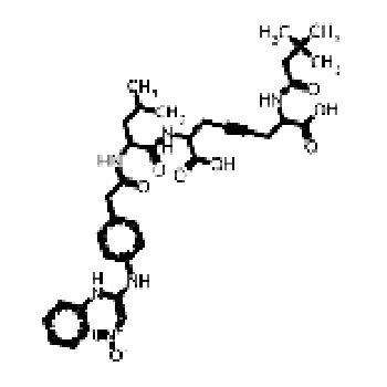 CC(C)CC(NC(=O)Cc1ccc(N/C(=C/[N+](=O)[O-])Nc2ccccc2)cc1)C(=O)NC(CC#CCC(NC(=O)CC(C)(C)C)C(=O)O)C(=O)O